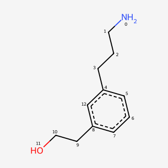 NCCCc1cccc(CCO)c1